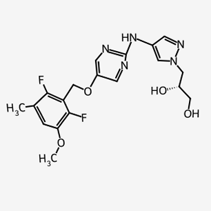 COc1cc(C)c(F)c(COc2cnc(Nc3cnn(C[C@@H](O)CO)c3)nc2)c1F